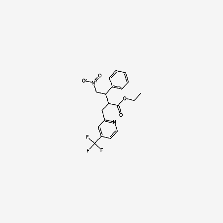 CCOC(=O)C(Cc1cc(C(F)(F)F)ccn1)C(C[N+](=O)[O-])c1ccccc1